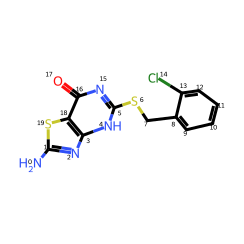 Nc1nc2[nH]c(SCc3ccccc3Cl)nc(=O)c2s1